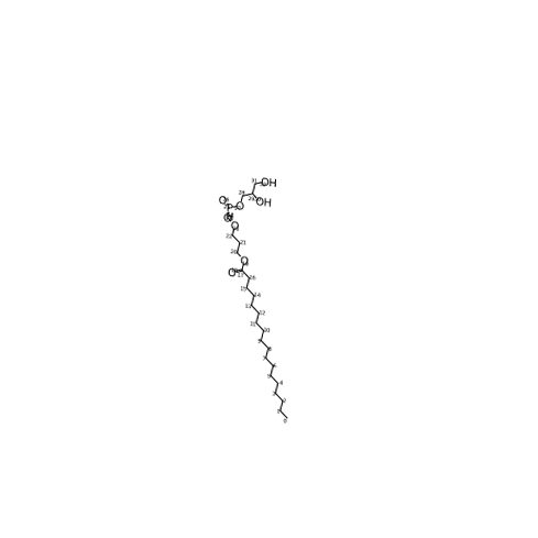 CCCCCCCCCCCCCCCCCC(=O)OCCCOO[PH](=O)OCC(O)CO